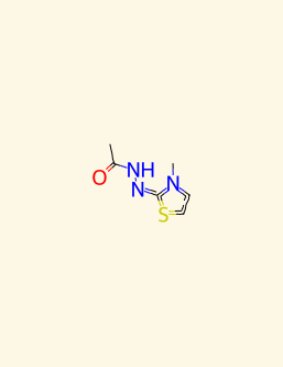 CC(=O)NN=c1sccn1C